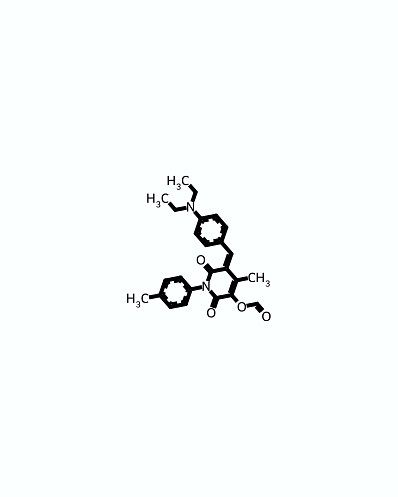 CCN(CC)c1ccc(/C=C2\C(=O)N(c3ccc(C)cc3)C(=O)C(OC=O)=C2C)cc1